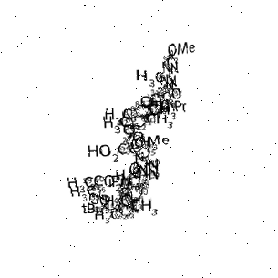 COc1cnc(-c2nnc(C[C@@]34CC[C@]5(C)[C@H](CCC6[C@@]7(C)CC[C@H](OC(=O)CC(C)(Cc8nc(-c9nnc(C[C@@]%10%11CC[C@]%12(C)[C@H](CCC%13[C@@](C)(CC[C@H](OC(=O)CC(C)(C)C(=O)O)C(C)(C)C)CCC[C@]%13%12C)C%10=C(C(C)C)C(=O)C%11)n9C)ccc8OC)C(=O)O)C(C)(C)C7CC[C@]65C)C3=C(C(C)C)C(=O)C4)n2C)nc1